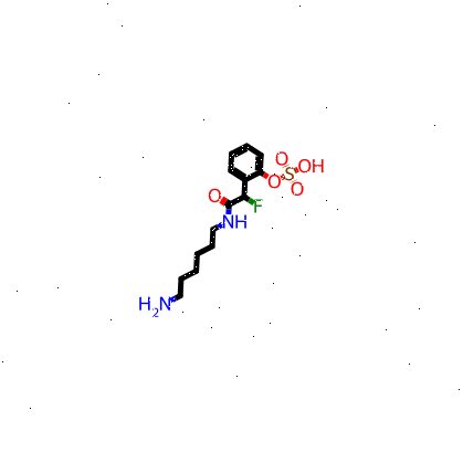 NCCCCCCNC(=O)C(F)c1ccccc1OS(=O)(=O)O